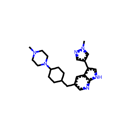 CN1CCN(C2CCC(Cc3cnc4[nH]cc(-c5cnn(C)c5)c4c3)CC2)CC1